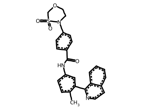 Cc1ccc(NC(=O)c2ccc(N3CCOCS3(=O)=O)cc2)cc1-c1nccc2ccccc12